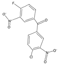 O=C(c1ccc(F)c([N+](=O)[O-])c1)c1ccc(Cl)c([N+](=O)[O-])c1